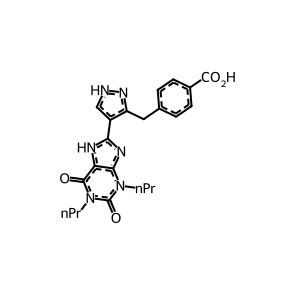 CCCn1c(=O)c2[nH]c(-c3c[nH]nc3Cc3ccc(C(=O)O)cc3)nc2n(CCC)c1=O